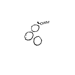 C1CCCCCCCCC1.C1CCCCCCCCC1.C1CCCCCCCCC1.C=COC